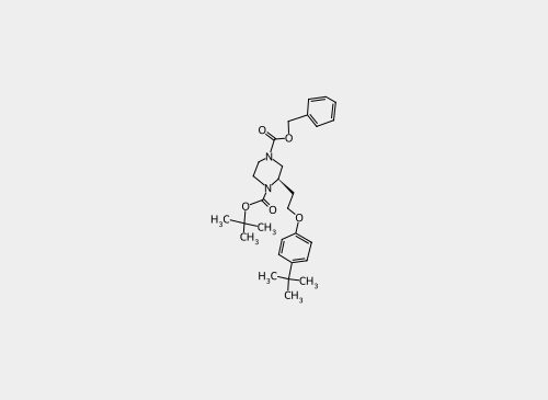 CC(C)(C)OC(=O)N1CCN(C(=O)OCc2ccccc2)C[C@H]1CCOc1ccc(C(C)(C)C)cc1